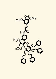 CCCCCCCCOc1c(O[C@@H]2O[C@H](COCc3ccccc3)[C@@H](OCc3ccccc3)[C@H](OCc3ccccc3)[C@H]2OCc2ccccc2)c2ccc(NC(=O)C=Cc3cc(OC)c(O)c(OC)c3)cc2n(C)c1=O